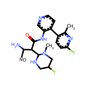 Cc1nc(F)ccc1-c1ccncc1NC(=O)C(C(N)N=O)C1NCC(F)CN1C